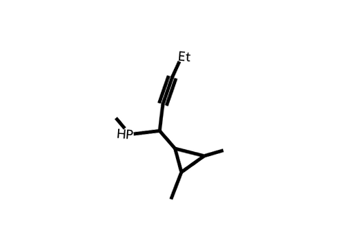 CCC#CC(PC)C1C(C)C1C